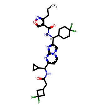 O=C(CC1CC(F)(F)C1)NC(c1ccn2cc([C@@H](NC(=O)c3conc3CCC(F)(F)F)C3CCC(F)(F)CC3)nc2n1)C1CC1